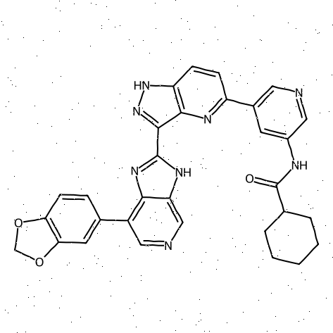 O=C(Nc1cncc(-c2ccc3[nH]nc(-c4nc5c(-c6ccc7c(c6)OCO7)cncc5[nH]4)c3n2)c1)C1CCCCC1